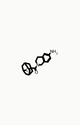 Nc1ccc2c(c1)CCN(C(=O)C13CC4CC(CC(C4)C1)C3)C2